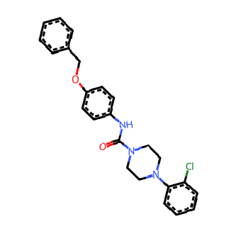 O=C(Nc1ccc(OCc2ccccc2)cc1)N1CCN(c2ccccc2Cl)CC1